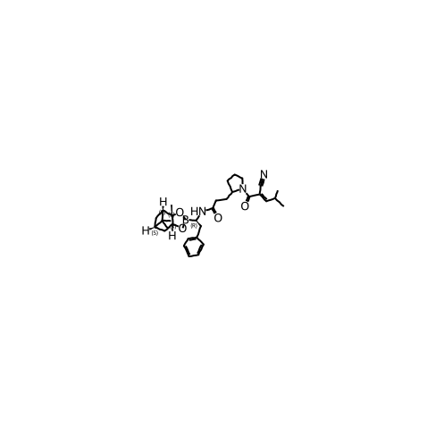 CC(C)C=C(C#N)C(=O)N1CCCC1CCC(=O)N[C@@H](Cc1ccccc1)B1O[C@@H]2C[C@@H]3C[C@@H](C3(C)C)[C@]2(C)O1